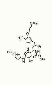 COCCCOc1cc(CC(CC(NC(=O)OC(C)(C)C)C(O)CC(C(=O)N[C@H]2CCN(C(=O)O)C2)C(C)C)C(C)C)ccc1C